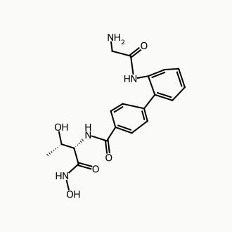 C[C@H](O)[C@H](NC(=O)c1ccc(-c2ccccc2NC(=O)CN)cc1)C(=O)NO